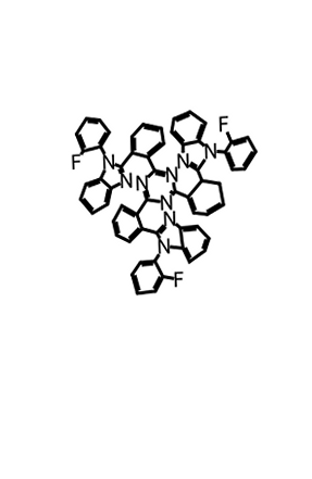 Fc1ccccc1-n1c(-c2ccccc2-c2nc(C3=CC=CCC3c3nc4ccccc4n3-c3ccccc3F)nc(-c3ccccc3-c3nc4ccccc4n3-c3ccccc3F)n2)nc2ccccc21